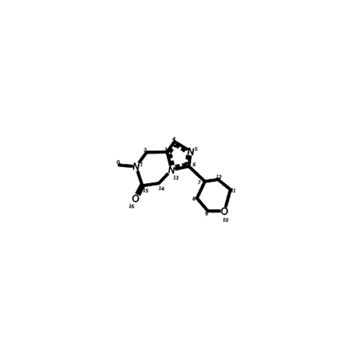 CN1Cc2cnc(C3CCOCC3)n2CC1=O